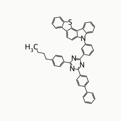 CCCCc1ccc(-c2nc(-c3ccc(-c4ccccc4)cc3)nc(-c3cccc(-n4c5ccccc5c5c6sc7ccccc7c6ccc54)c3)n2)cc1